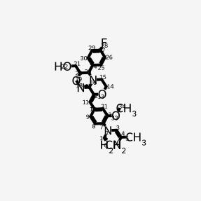 C=CN(/C=C(/C)N)c1ccc(/C=C2\OCCN3C2=NOC(CO)C3c2ccc(F)cc2)cc1OC